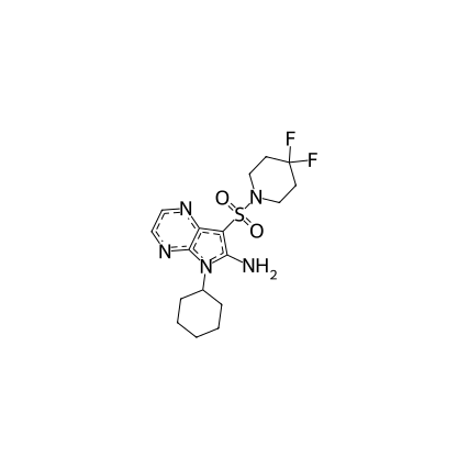 Nc1c(S(=O)(=O)N2CCC(F)(F)CC2)c2nccnc2n1C1CCCCC1